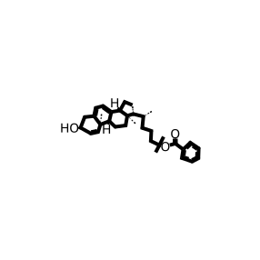 C[C@H](CCCC(C)(C)OC(=O)c1ccccc1)[C@H]1CC[C@H]2C3=CC=C4C[C@@H](O)C=C[C@]4(C)[C@H]3CC[C@]12C